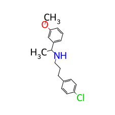 COc1cccc(C(C)NCCCc2ccc(Cl)cc2)c1